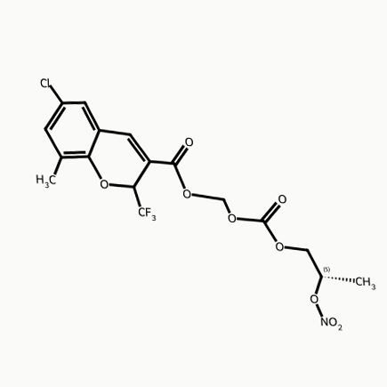 Cc1cc(Cl)cc2c1OC(C(F)(F)F)C(C(=O)OCOC(=O)OC[C@H](C)O[N+](=O)[O-])=C2